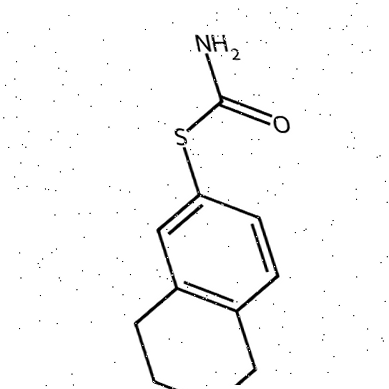 NC(=O)Sc1ccc2c(c1)CCCC2